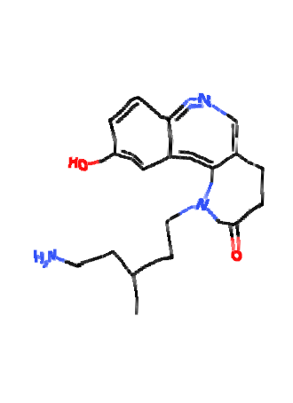 CC(CCN)CCN1C(=O)CCc2cnc3ccc(O)cc3c21